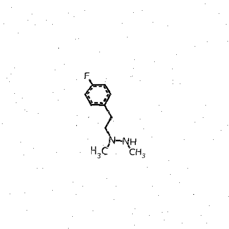 CNN(C)CCc1ccc(F)cc1